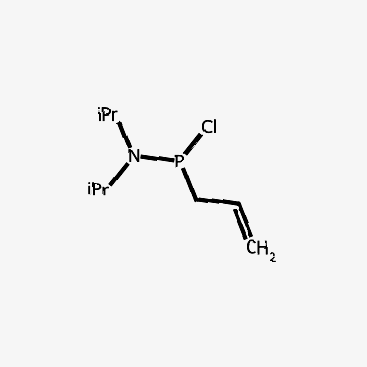 C=CCP(Cl)N(C(C)C)C(C)C